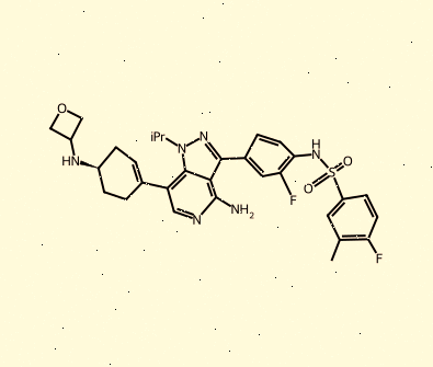 Cc1cc(S(=O)(=O)Nc2ccc(-c3nn(C(C)C)c4c(C5=CC[C@H](NC6COC6)CC5)cnc(N)c34)cc2F)ccc1F